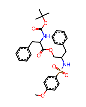 COc1ccc(S(=O)(=O)NC(COC(=O)C(Cc2ccccc2)NC(=O)OC(C)(C)C)Cc2ccccc2)cc1